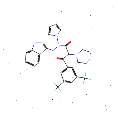 Cl.Cl.O=C(c1cc(C(F)(F)F)cc(C(F)(F)F)c1)C(C(=O)N(Cc1c[nH]c2ccccc12)n1cccc1)N1CCNCC1